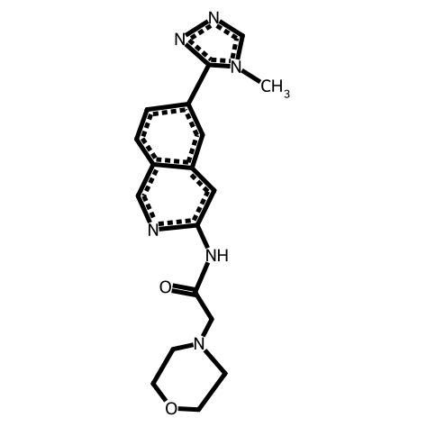 Cn1cnnc1-c1ccc2cnc(NC(=O)CN3CCOCC3)cc2c1